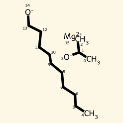 CC(C)[O-].CCCCCCCCCC[O-].[Mg+2]